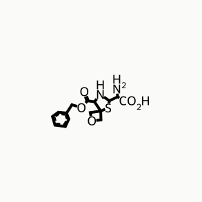 NC(C(=O)O)C1NC(C(=O)OCc2ccccc2)C2(COC2)S1